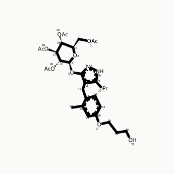 CC(=O)OC[C@H]1O[C@@H](Oc2n[nH]c(C(C)C)c2Cc2ccc(OCCCO)cc2C)[C@H](OC(C)=O)[C@@H](OC(C)=O)[C@@H]1OC(C)=O